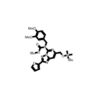 COc1ccc(CN(C(=O)OC(C)(C)C)c2nc(CO[Si](C)(C)C(C)(C)C)cc3nc(-c4ccco4)nn23)cc1OC